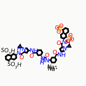 O=C(Nc1cccc(C(=O)Nc2cc(C(=O)Nc3ccc4c(S(=O)(=O)[O-])cccc4c3S(=O)(=O)[O-])n(C3CC3)c2)c1)Nc1cccc(C(=O)Nc2cc(C(=O)Nc3ccc4c(S(=O)(=O)O)cccc4c3S(=O)(=O)O)n(C3CC3)c2)c1.[Na+].[Na+]